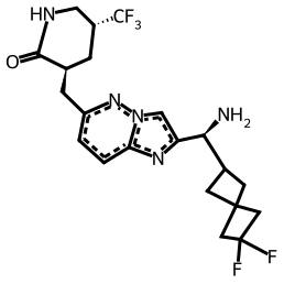 N[C@H](c1cn2nc(C[C@@H]3C[C@@H](C(F)(F)F)CNC3=O)ccc2n1)C1CC2(C1)CC(F)(F)C2